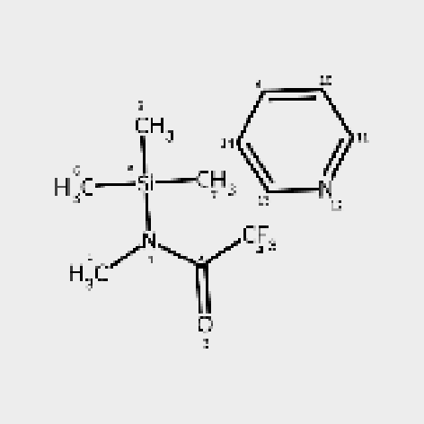 CN(C(=O)C(F)(F)F)[Si](C)(C)C.c1ccncc1